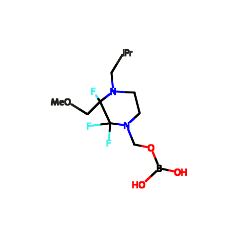 COCC1(F)N(CC(C)C)CCN(COB(O)O)C1(F)F